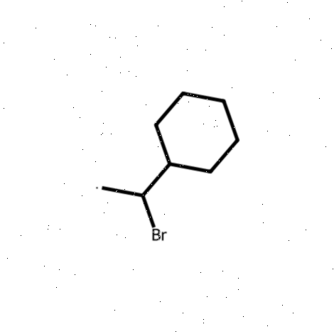 [CH2]C(Br)C1CCCCC1